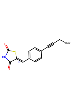 CC(=O)OCC#Cc1ccc(/C=C2\SC(=O)NC2=O)cc1